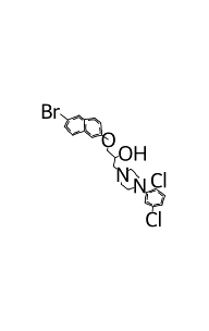 OC(COc1ccc2cc(Br)ccc2c1)CN1CCN(c2cc(Cl)ccc2Cl)CC1